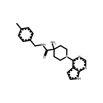 Cc1ccc(CNC(=O)C2(N)CCN(c3ncnc4[nH]ccc34)CC2)cc1